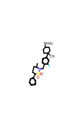 CC(=O)NC1CCC(C#N)(c2ccc(CN3C(C)CCC(c4ccccc4)S3(=O)=O)c(F)c2)CC1